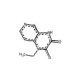 CCn1c(=O)c(=O)[nH]c2cnccc21